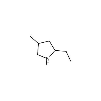 CCC1CC(C)CN1